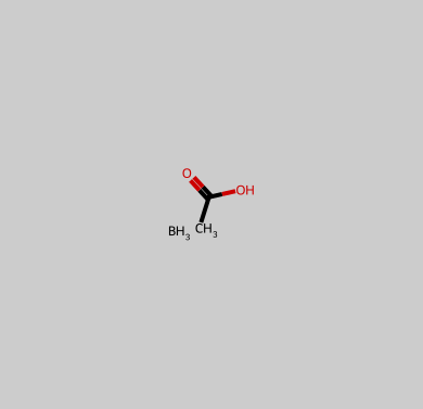 B.CC(=O)O